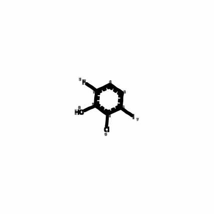 Oc1c(F)ccc(I)c1Cl